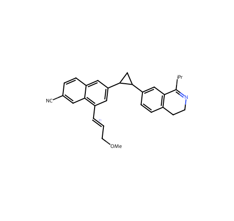 COC/C=C/c1cc(C2CC2c2ccc3c(c2)C(C(C)C)=NCC3)cc2ccc(C#N)cc12